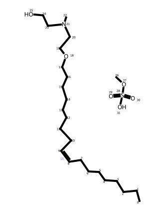 CCCCCCCC/C=C\CCCCCCCCOCCN(C)CCO.COS(=O)(=O)O